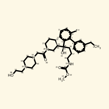 CCc1cccc(-c2c(F)cccc2[C@](O)(CCCNC(=O)OC)[C@@H]2CCCN(C(=O)CN3CCN(CCO)CC3)C2)c1